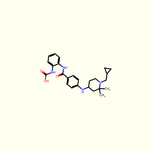 CC1(C)CC(Nc2ccc(C(=O)Nc3ccccc3NC(=O)O)cc2)CCN1CC1CC1